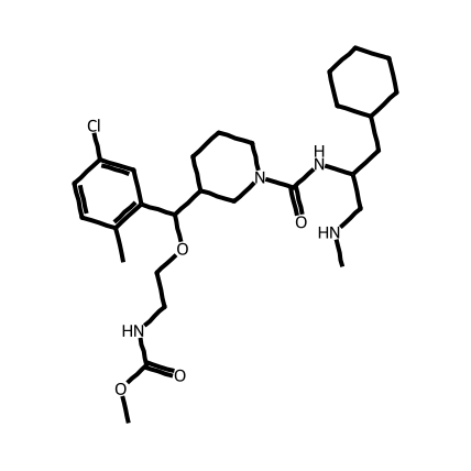 CNCC(CC1CCCCC1)NC(=O)N1CCCC(C(OCCNC(=O)OC)c2cc(Cl)ccc2C)C1